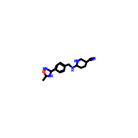 CC1NC(c2ccc(CNC3CCC(C#N)CN3)cc2)NO1